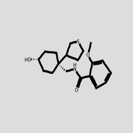 COc1ccccc1C(=O)NC[C@]1(C2CCSC2)CC[C@H](O)CC1